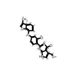 Cc1coc2c(Oc3ccc(-c4nc(Cl)c5c(C=O)c[nH]c5n4)c(Cl)c3)cccc12